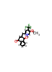 COc1cnc(CC2=CC(=O)c3ccccc3C2=O)cc1C(F)(F)F